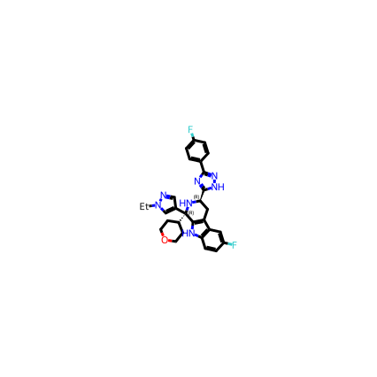 CCn1cc([C@@]2(C3CCOCC3)N[C@@H](c3nc(-c4ccc(F)cc4)n[nH]3)Cc3c2[nH]c2ccc(F)cc32)cn1